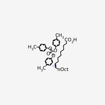 CCCCCCCC/C=C\CCCCCCCC(=O)O.Cc1ccc(OP(=O)(Oc2ccc(C)cc2)Oc2ccc(C)cc2)cc1